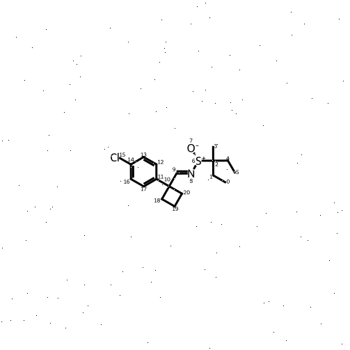 CCC(C)(CC)[S@@+]([O-])/N=C/C1(c2ccc(Cl)cc2)CCC1